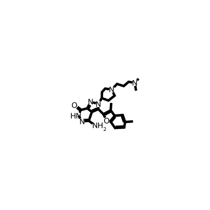 Cc1ccc2oc(-c3c4c(N)n[nH]c(=O)c4nn3C3CCN(CCCN(C)C)CC3)c(C)c2c1